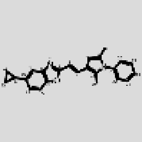 Cc1cc(C=Cc2nc3cc(C4CC4)ccc3o2)c(C)n1-c1ccccc1